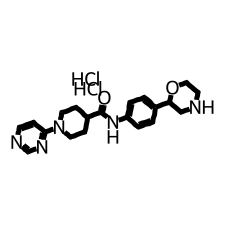 Cl.Cl.O=C(Nc1ccc(C2CNCCO2)cc1)C1CCN(c2ccncn2)CC1